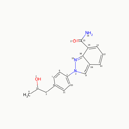 CC(O)Cc1ccc(-n2cc3cccc(C(N)=O)c3n2)cc1